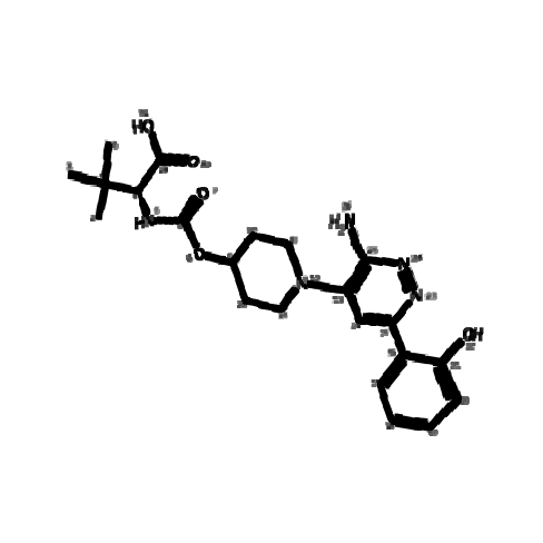 CC(C)(C)[C@H](NC(=O)OC1CCN(c2cc(-c3ccccc3O)nnc2N)CC1)C(=O)O